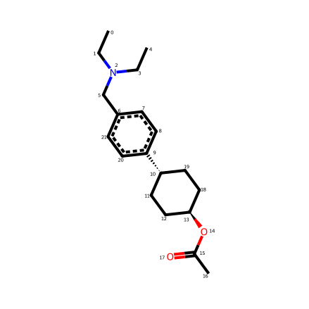 CCN(CC)Cc1ccc([C@H]2CC[C@H](OC(C)=O)CC2)cc1